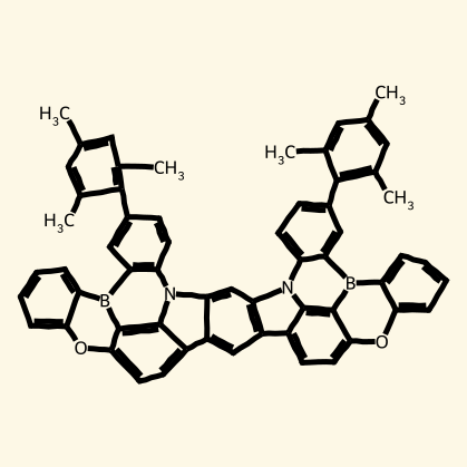 Cc1cc(C)c(-c2ccc3c(c2)B2c4ccccc4Oc4ccc5c6cc7c8ccc9c%10c8n(c7cc6n-3c5c42)-c2ccc(-c3c(C)cc(C)cc3C)cc2B%10c2ccccc2O9)c(C)c1